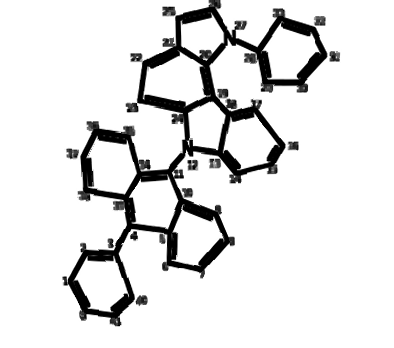 c1ccc(-c2c3ccccc3c(-n3c4ccccc4c4c5c(ccc43)ccn5-c3ccccc3)c3ccccc23)cc1